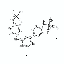 C[N+]([O-])(O)Nc1ccc(-c2cc(Nc3ccc(OC(F)(F)F)cc3)ncn2)cc1